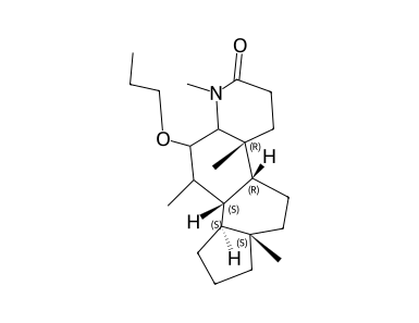 CCCOC1C(C)[C@@H]2[C@@H](CC[C@]3(C)CCC[C@@H]23)[C@@]2(C)CCC(=O)N(C)C12